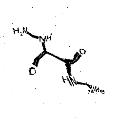 CNNC(=O)C(=O)NN